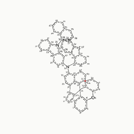 c1ccc2c(c1)Oc1ccccc1C21c2ccccc2-c2ccc(N(c3ccc4c5ccccc5n(-c5cccc6ccccc56)c4c3)c3cccc4sc5ccccc5c34)c3cccc1c23